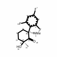 CN[C@@]1(c2c(F)cc(F)cc2F)CCC[C@](C)(O)C1=O